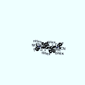 CCCCCCc1ccc(C2(c3ccc(CCCCCC)cc3)c3c(sc4cc(/C=C5\C(=O)c6ccc(F)cc6C5=C(C#N)C#N)sc34)-c3sc4c5c(sc4c32)-c2sc3cc(/C=C4\C(=O)c6ccc(F)cc6C4=C(C#N)C#N)sc3c2C5(c2ccc(CCCCCC)cc2)c2ccc(CCCCCC)cc2)cc1